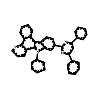 c1ccc(-c2cc(-c3ccccc3)nc(-c3ccc4c5c6ccccc6c6ncccc6c5n(-c5ccccc5)c4c3)n2)cc1